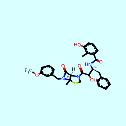 Cc1c(O)cccc1C(=O)N[C@@H](Cc1ccccc1)C(O)C(=O)N1CSC2(C)[C@H]1C(=O)N2Cc1cccc(OC(F)(F)F)c1